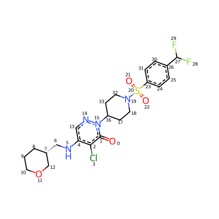 O=c1c(Cl)c(NC[C@H]2CCCOC2)cnn1C1CCN(S(=O)(=O)c2ccc(C(F)F)cc2)CC1